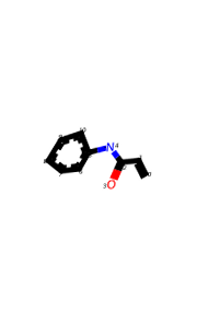 C=CC(=O)[N]c1ccccc1